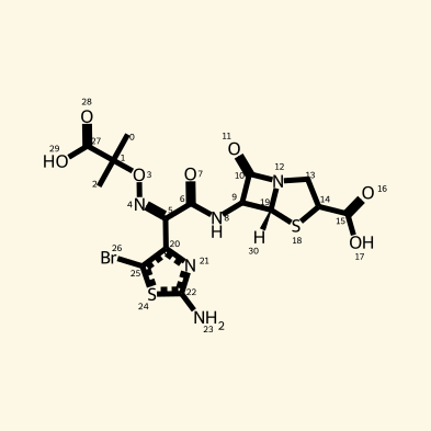 CC(C)(O/N=C(\C(=O)NC1C(=O)N2CC(C(=O)O)S[C@H]12)c1nc(N)sc1Br)C(=O)O